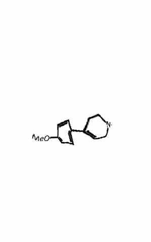 COc1ccc(C2=CC[N]CC2)cc1